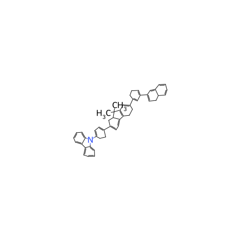 CC1(C)C2=C(CCC(C3=CC(C4=CCC5C=CC=CC5=C4)=CCC3)=C2)C2=CC=C(C3=CC=C(n4c5ccccc5c5ccccc54)CC3)CC21